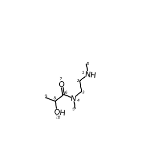 CNCCN(C)C(=O)C(C)O